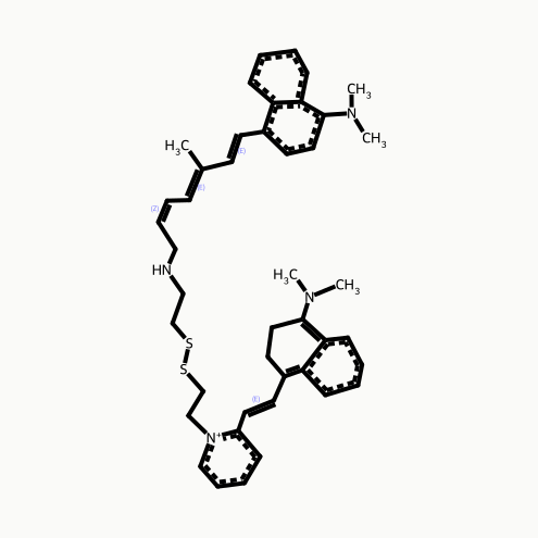 CC(/C=C/c1ccc(N(C)C)c2ccccc12)=C\C=C/CNCCSSCC[n+]1ccccc1/C=C/C1=c2ccccc2=C(N(C)C)CC1